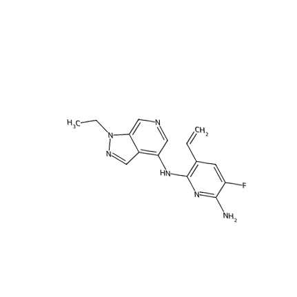 C=Cc1cc(F)c(N)nc1Nc1cncc2c1cnn2CC